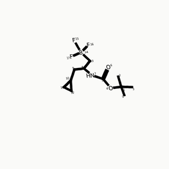 CC(C)(C)OC(=O)NC(CC1CC1)C[B-](F)(F)F